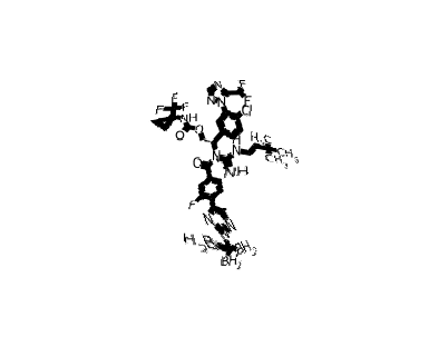 BC(B)(B)n1ncc(-c2ccc(C(=O)N(C(=N)NCCC(C)(C)C)[C@H](COC(=O)NC3(C(F)(F)F)CC3)c3ccc(Cl)c(-n4ncnc4C(F)F)c3)cc2F)n1